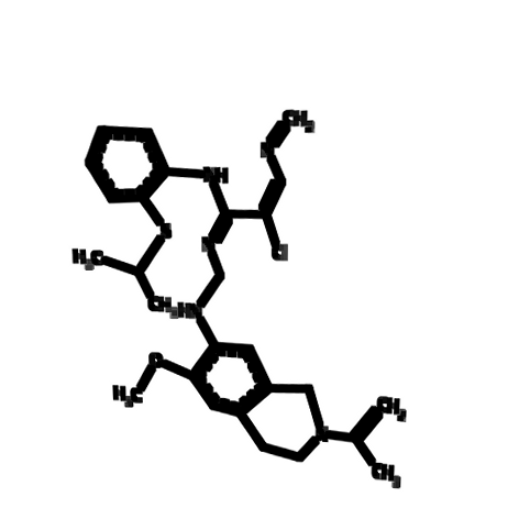 C=N/C=C(Cl)\C(=N/CNc1cc2c(cc1OC)CCN(C(=C)C)C2)Nc1ccccc1SC(C)C